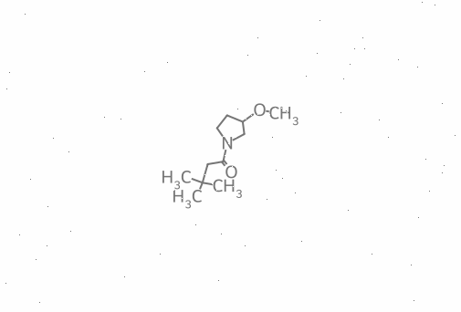 COC1CCN(C(=O)CC(C)(C)C)C1